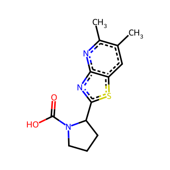 Cc1cc2sc(C3CCCN3C(=O)O)nc2nc1C